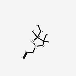 C=CCB1OC(C)(C)C(C)(CC)O1